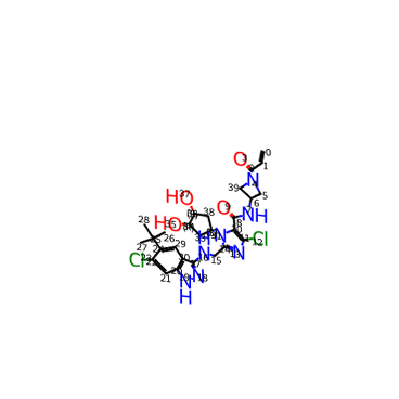 C=CC(=O)N1CC(NC(=O)c2c(Cl)nc(CNc3n[nH]c4cc(Cl)c(C(C)(C)C)cc34)n2[C@@H]2C[C@@H](O)[C@@H](O)C2)C1